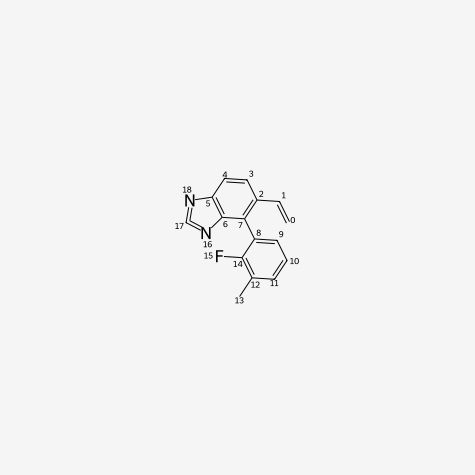 C=Cc1ccc2c(c1-c1cccc(C)c1F)N=C=N2